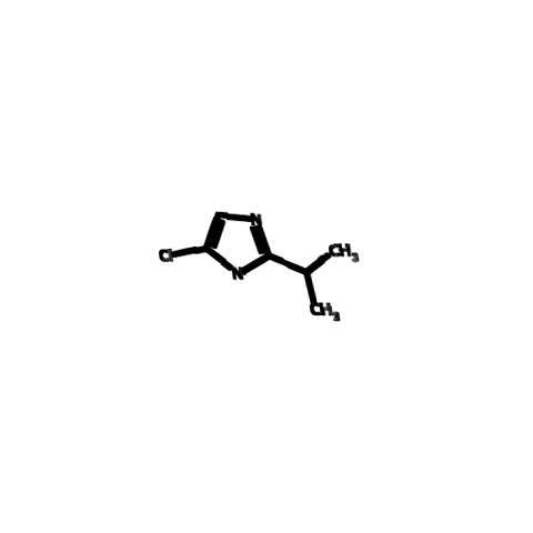 CC(C)C1=NC=C(Cl)[N]1